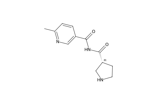 Cc1ccc(C(=O)NC(=O)[C@@H]2CCNC2)cn1